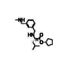 CNCc1cccc(CN[C@@H](CC(C)C)C(=O)OC2CCCC2)c1